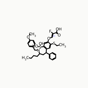 CCCCC1CC(c2ccccc2)c2cc(SCC)c(O/C=C(\F)C(=O)O)cc2S(O)(O)N1Cc1ccc(OC)cc1